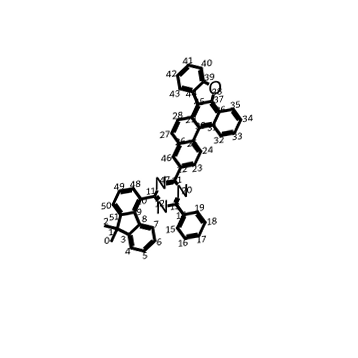 CC1(C)c2ccccc2-c2c(-c3nc(-c4ccccc4)nc(-c4ccc5c(ccc6c5c5ccccc5c5oc7ccccc7c65)c4)n3)cccc21